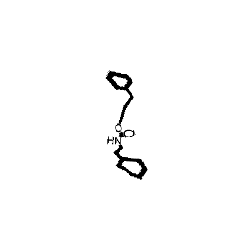 O=C(NCCC1CCCCC1)OCCCc1ccccc1